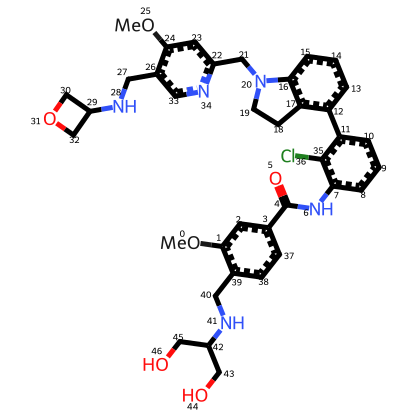 COc1cc(C(=O)Nc2cccc(-c3cccc4c3CCN4Cc3cc(OC)c(CNC4COC4)cn3)c2Cl)ccc1CNC(CO)CO